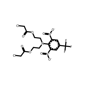 O=C(CCl)OCCN(CCOC(=O)CCl)c1c([N+](=O)[O-])cc(C(F)(F)F)cc1[N+](=O)[O-]